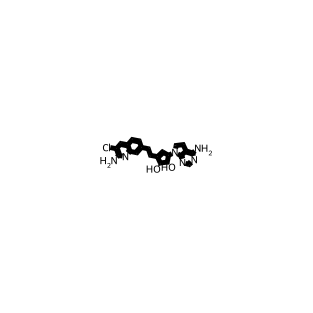 Nc1nc2cc(CCC3=CC(N4CCc5c(N)ncnc54)[C@H](O)[C@@H]3O)ccc2cc1Cl